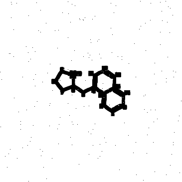 c1ccc2c(CC3CCC[N]3)cccc2c1